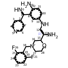 N=C(c1ccncc1)c1cc(N/C=C(\N)C2CN(Cc3c(F)cccc3F)CCO2)ccc1N